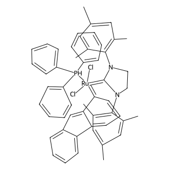 Cc1cc(C)c(N2CCN(c3c(C)cc(C)cc3C)[C]2=[Ru]([Cl])([Cl])(=[C]2C=CC=C3C2=Cc2ccccc23)[PH](c2ccccc2)(c2ccccc2)c2ccccc2)c(C)c1